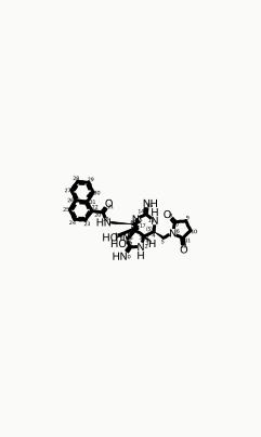 N=C1N[C@H]2[C@H](CN3C(=O)CCC3=O)NC(=N)N3C[C@H](NC(=O)c4cccc5ccccc45)C(O)(O)[C@]23N1